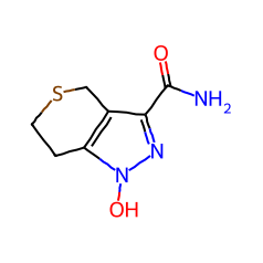 NC(=O)c1nn(O)c2c1CSCC2